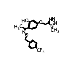 CC(=NOCc1ccc(C(F)(F)F)cc1)c1ccc(OCc2nnnn2C)cc1O